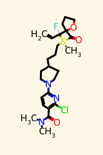 C=C[C@@]1(F)C2(CCCO2)C(=O)S1(C)CCCC1CCN(c2ccc(C(=O)N(C)C)c(Cl)n2)CC1